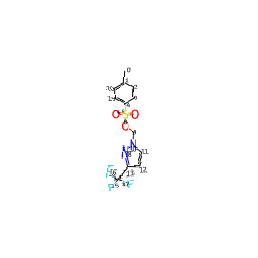 Cc1ccc(S(=O)(=O)OCn2ccc(C(F)(F)F)n2)cc1